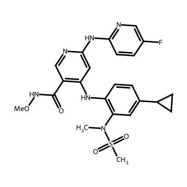 CONC(=O)c1cnc(Nc2ccc(F)cn2)cc1Nc1ccc(C2CC2)cc1N(C)S(C)(=O)=O